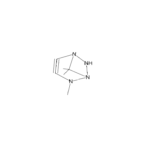 Cn1c#cn2[nH]n1C2(C)C